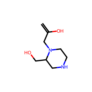 C=C(O)CN1CCNCC1CO